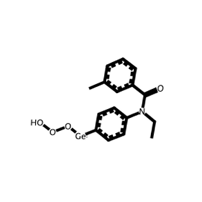 CCN(C(=O)c1cccc(C)c1)c1cc[c]([Ge][O]OO)cc1